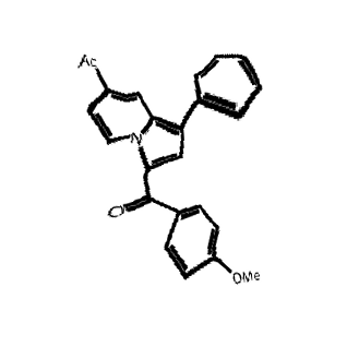 COc1ccc(C(=O)c2cc(-c3ccccc3)c3cc(C(C)=O)ccn23)cc1